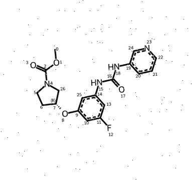 COC(=O)N1CC[C@@H](Oc2cc(F)cc(NC(=O)Nc3cccnc3)c2)C1